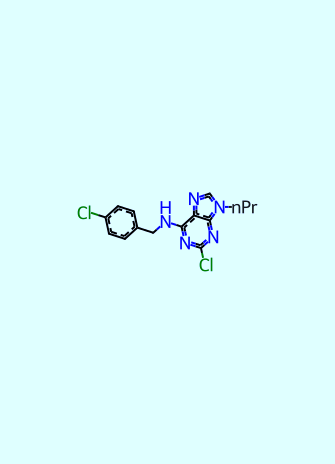 CCCn1cnc2c(NCc3ccc(Cl)cc3)nc(Cl)nc21